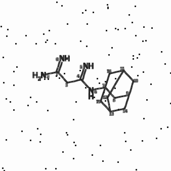 N=C(N)CC(=N)NC12CC3CC(CC(C3)C1)C2